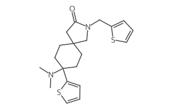 CN(C)C1(c2cccs2)CCC2(CC1)CC(=O)N(Cc1cccs1)C2